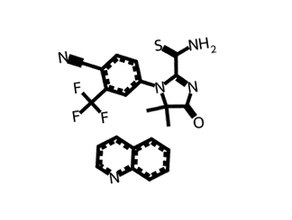 CC1(C)C(=O)N=C(C(N)=S)N1c1ccc(C#N)c(C(F)(F)F)c1.c1ccc2ncccc2c1